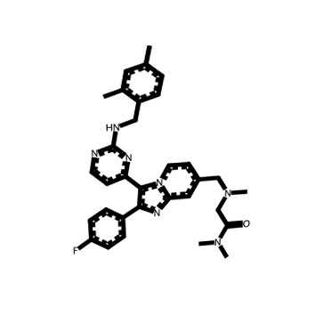 Cc1ccc(CNc2nccc(-c3c(-c4ccc(F)cc4)nc4cc(CN(C)CC(=O)N(C)C)ccn34)n2)c(C)c1